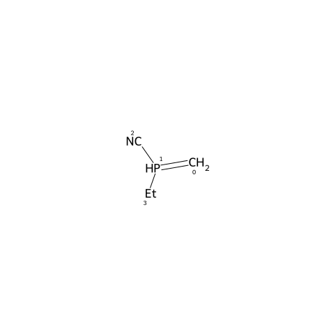 C=[PH](C#N)CC